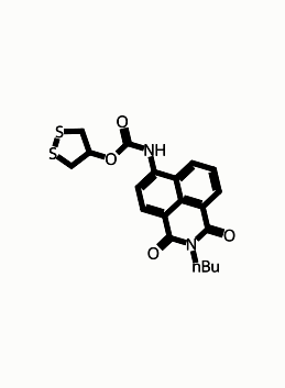 CCCCN1C(=O)c2cccc3c(NC(=O)OC4CSSC4)ccc(c23)C1=O